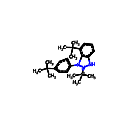 CC(C)(C)c1ccc(N2c3c(cccc3C(C)(C)C)NN2[Si](C)(C)C)cc1